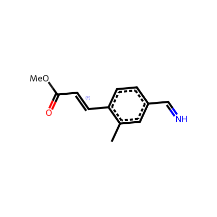 COC(=O)/C=C/c1ccc(C=N)cc1C